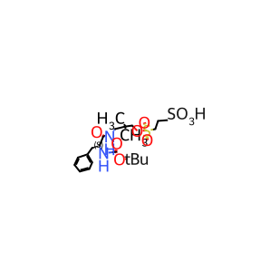 CC(C)(CNC(=O)[C@H](Cc1ccccc1)NC(=O)OC(C)(C)C)COS(=O)(=O)CCCS(=O)(=O)O